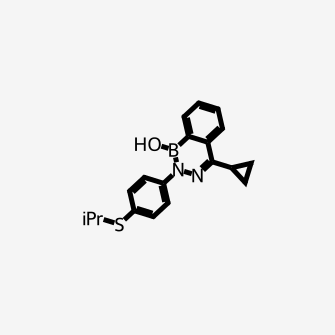 CC(C)Sc1ccc(N2N=C(C3CC3)c3ccccc3B2O)cc1